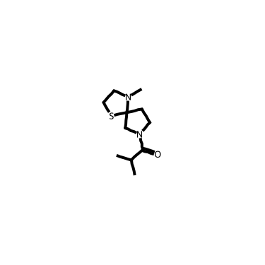 CC(C)C(=O)N1CCC2(C1)SCCN2C